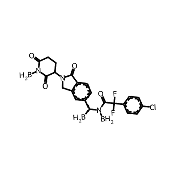 BC(c1ccc2c(c1)CN(C1CCC(=O)N(B)C1=O)C2=O)N(B)C(=O)C(F)(F)c1ccc(Cl)cc1